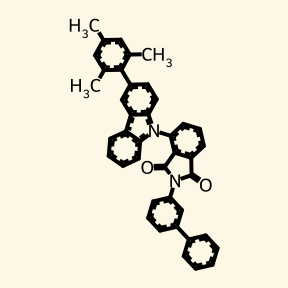 Cc1cc(C)c(-c2ccc3c(c2)c2ccccc2n3-c2cccc3c2C(=O)N(c2cccc(-c4ccccc4)c2)C3=O)c(C)c1